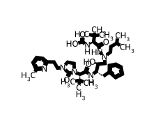 Cc1cccc(CCN2CCN([C@H](C(=O)N[C@@H](Cc3ccccc3)[C@@H](O)CN(CCC(C)C)NC(=O)[C@@H](NC(=O)O)C(C)(C)C)C(C)(C)C)C2=O)n1